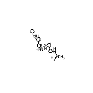 CN(C)CCNc1cc(F)cc(-c2cncc3[nH]c(-c4n[nH]c5ccc(-c6cncc(CNCc7ccccc7)c6)cc45)nc23)c1